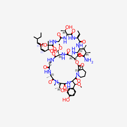 CC=C(NC(=O)[C@H](NC(=O)CNC(=O)C(C)(O)C(O)/C=C\C(C)=C\C(C)CC)[C@@H](C)O)C(=O)N[C@H](C(=O)N[C@H]1C(=O)N[C@H](COC)C(=O)NCC(=O)N[C@@H](C)C(=O)N(C)[C@H]([C@@H](C)O)C(=O)NC(C(OC)c2ccc(O)cc2)C(=O)N2CCCC[C@H]2C(=O)O[C@@H]1C(C)C)[C@@H](C)[C@@H](C)C(N)=O